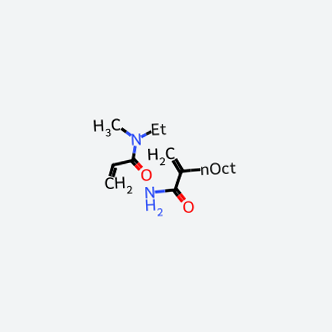 C=C(CCCCCCCC)C(N)=O.C=CC(=O)N(C)CC